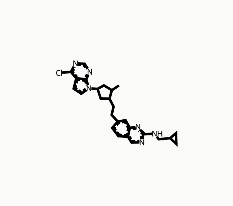 CC1CC(n2ccc3c(Cl)ncnc32)CC1CCc1ccc2cnc(NCC3CC3)nc2c1